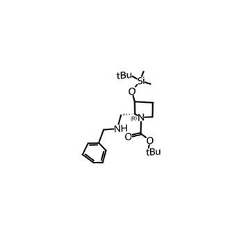 CC(C)(C)OC(=O)N1CCC(O[Si](C)(C)C(C)(C)C)[C@H]1CNCc1ccccc1